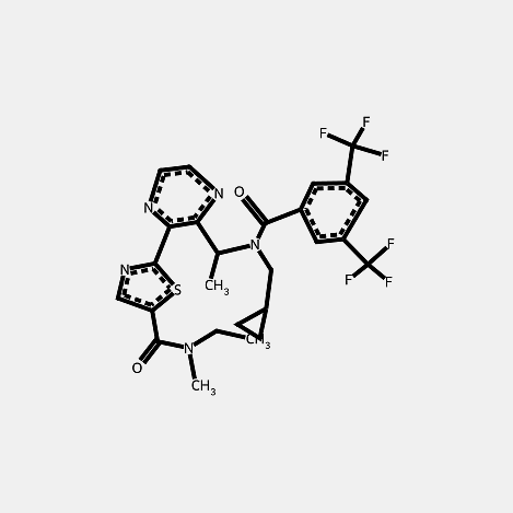 CCN(C)C(=O)c1cnc(-c2nccnc2C(C)N(CC2CC2)C(=O)c2cc(C(F)(F)F)cc(C(F)(F)F)c2)s1